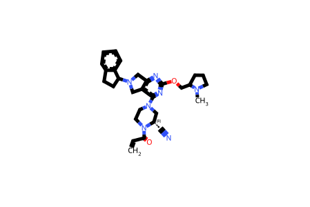 C=CC(=O)N1CCN(c2nc(OCC3CCCN3C)nc3c2CN(C2CCc4ccccc42)C3)C[C@@H]1C#N